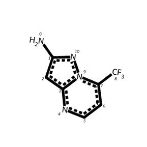 Nc1cc2nccc(C(F)(F)F)n2n1